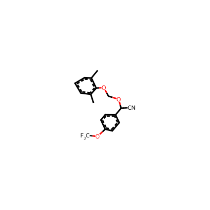 Cc1cccc(C)c1OCOC(C#N)c1ccc(OC(F)(F)F)cc1